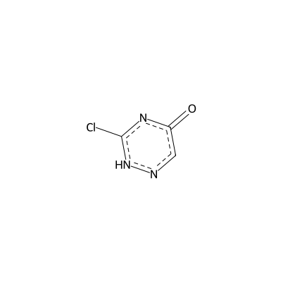 O=c1cn[nH]c(Cl)n1